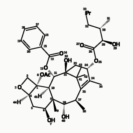 CC(=O)O[C@@]12CO[C@@H]1C[C@H](O)[C@]1(C)[C@@H]2[C@H](OC(=O)c2ccccc2)[C@]2(O)C[C@H](OC(=O)[C@H](O)[C@@H](C)CC(C)C)C(C)=C([C@@H](C)[C@@H]1O)C2(C)C